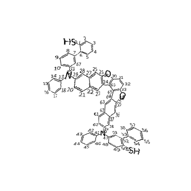 Sc1ccccc1-c1cccc(N(c2ccccc2)c2ccc3cc4c(cc3c2)oc2ccc3oc5cc6cc(N(c7ccccc7)c7ccc(S)c(-c8ccccc8)c7)ccc6cc5c3c24)c1